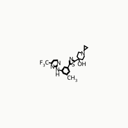 Cc1cc(Nc2nccc(C(F)(F)F)n2)cc(-c2cnc(C3(O)CCN(C4CC4)CC3)s2)c1